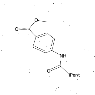 CCCC(C)C(=O)Nc1ccc2c(c1)COC2=O